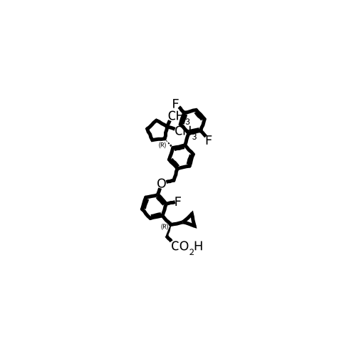 CC1(C)CCC[C@H]1c1cc(COc2cccc([C@H](CC(=O)O)C3CC3)c2F)ccc1-c1cc(F)ccc1F